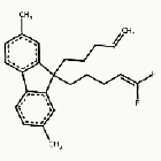 C=CCCCC1(CCCC=C(F)F)c2cc(C)ccc2-c2ccc(C)cc21